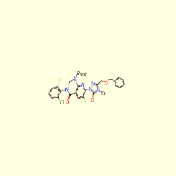 CCCC(C)N1CN(c2c(F)cccc2Cl)C(=O)c2cc(F)c(-n3nc(COCc4ccccc4)n(CC)c3=O)nc21